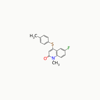 Cc1ccc(Sc2cc(=O)n(C)c3ccc(F)cc23)cc1